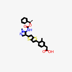 Cc1cc(CC(=O)O)ccc1-c1cc2sc(-c3cnn(C)c3NC(=O)O[C@H](C)c3ccccc3)cc2s1